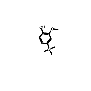 COc1cc([Si](C)(C)C)ccc1O